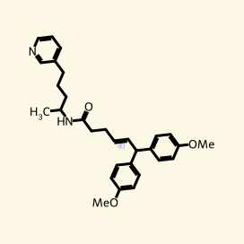 COc1ccc(C(/C=C/CCC(=O)NC(C)CCCc2cccnc2)c2ccc(OC)cc2)cc1